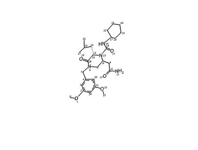 COc1cc(CN2CC(CC(N)=O)N(C(=O)NC3CCCCC3)[C@@H](CC(C)C)C2=O)cc(OC)c1